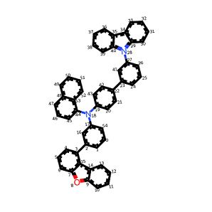 c1cc(-c2cccc3oc4ccccc4c23)cc(N(c2ccc(-c3cccc(-n4c5ccccc5c5ccccc54)c3)cc2)c2cccc3ccccc23)c1